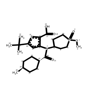 COP1(=O)CCC(N(c2cc(C(C)(C)C)sc2C(=O)O)C(=O)[C@H]2CC[C@H](C)CC2)CC1